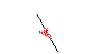 CCCCCCCCCCCCOC(=O)CC(C(=O)OCCCCCCCCCCCC)S(=O)(=O)O